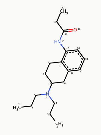 CCCN(CCC)C1CCc2c(cccc2NC(=O)CC)C1